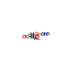 CC(=O)[C@@]1(OC(=O)CCc2ccc(N3CCCCC3)cc2)CC[C@H]2[C@@H]3CCC4=CC(=O)CCC4=C3CC[C@@]21C